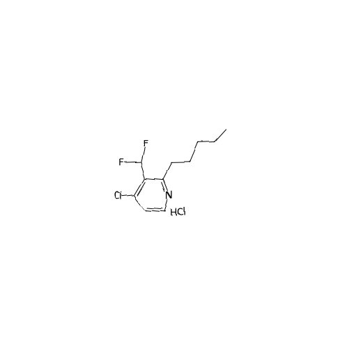 CCCCCc1nccc(Cl)c1C(F)F.Cl